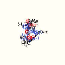 CCCCCCCCCCCCCCCC(=O)N[C@H]1CC(C)N([C@H](C(=O)N[C@H](C(=O)N[C@@H](CCCNC(=N)N)C(=O)N[C@H](C(=O)N[C@@H](CC(C)C)C(=O)N[C@@H](C)C(=O)N[C@H](C(=O)NC)[C@@H](C)O)C(C)C)C(C)C)[C@@H](C)CC)C1=O